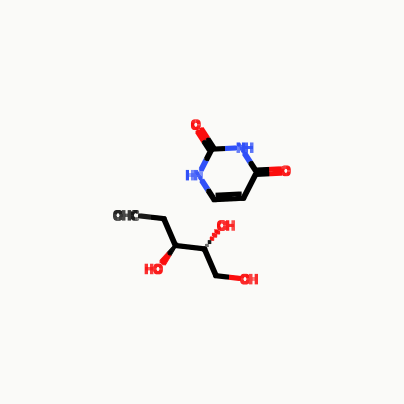 O=CC[C@H](O)[C@H](O)CO.O=c1cc[nH]c(=O)[nH]1